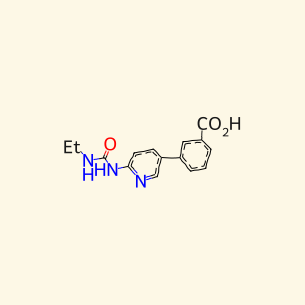 CCNC(=O)Nc1ccc(-c2cccc(C(=O)O)c2)cn1